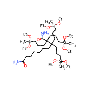 CCO[Si](C)(CCCC(CCCCCCC(N)=O)(CCC[Si](C)(OCC)OCC)C(CCC[Si](C)(OCC)OCC)(CCC[Si](C)(OCC)OCC)C(N)=O)OCC